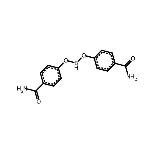 NC(=O)c1ccc(OBOc2ccc(C(N)=O)cc2)cc1